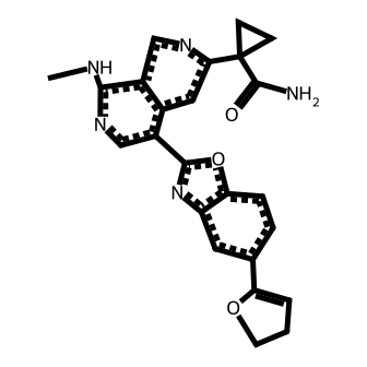 CNc1ncc(-c2nc3cc(C4=CCCO4)ccc3o2)c2cc(C3(C(N)=O)CC3)ncc12